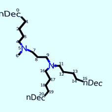 CCCCCCCCCCCCCCN(C)CCCN(CCCCCCCCCCCCCC)CCCCCCCCCCCCCC